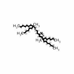 CCCCCCCC(C)(CCCCCC)CSCCc1cc(C(C)(CCCCCC)CCCCCCC)sn1